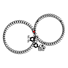 CC(C)(C)OC(=O)N1CCCCCCCCCCCCCCCCCCCCCCCCCCCCCCCCCCCCCCCC2(CCCCCCCCCCCCCCCCCCCCCCCCCCCCCCCCCCCCCCCCCCCCCC23OCCO3)CN(c2cc(F)c(F)cc2Oc2cccc(F)c2)CCCC1